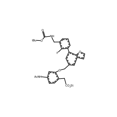 CCOC(=O)Cc1ccc(NC(C)=O)cc1OCc1cc(-c2cccc(CNC(=O)OC(C)(C)C)c2F)c2occc2c1